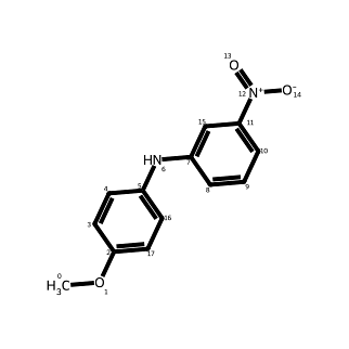 COc1ccc(Nc2cccc([N+](=O)[O-])c2)cc1